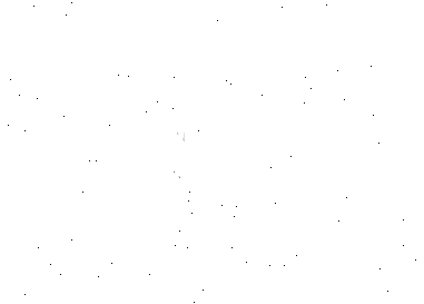 C=C/C(=C\C(C)=C/C)c1ccc(-c2cc(-c3cccc(-c4ccccc4)c3)nc(C3C=CC(C4C=Cc5ccccc5C=C4C)=CCC3)n2)cc1